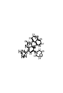 Cc1nc2c(-c3nnc[nH]3)cc(N3CCOCC3)cc2n1-c1ccnc2cccc(F)c12